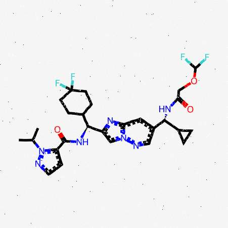 CC(C)n1nccc1C(=O)N[C@H](c1cn2ncc([C@H](NC(=O)COC(F)F)C3CC3)cc2n1)C1CCC(F)(F)CC1